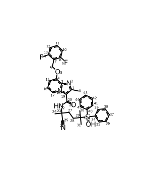 Cc1nc2c(OCc3c(F)cccc3F)cccn2c1C(=O)NC(C)(C#N)CCC(C)(C)[Si](O)(c1ccccc1)c1ccccc1